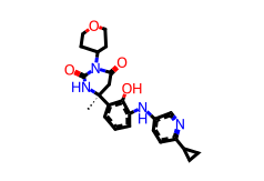 C[C@@]1(c2cccc(Nc3ccc(C4CC4)nc3)c2O)CC(=O)N(C2CCOCC2)C(=O)N1